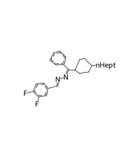 CCCCCCCC1CCC(C(=NN=Cc2ccc(F)c(F)c2)c2ccccc2)CC1